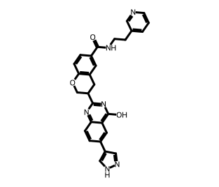 O=C(NCCc1cccnc1)c1ccc2c(c1)CC(c1nc(O)c3cc(-c4cn[nH]c4)ccc3n1)CO2